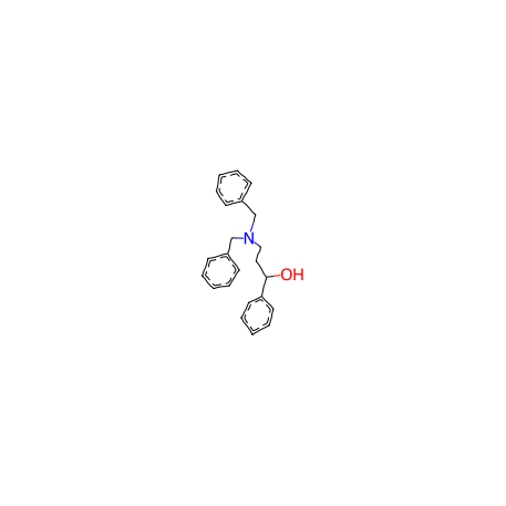 OC(CCN(Cc1ccccc1)Cc1ccccc1)c1ccccc1